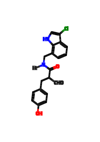 CCN(Cc1cccc2c(Cl)c[nH]c12)C(=O)C(C=O)Cc1ccc(O)cc1